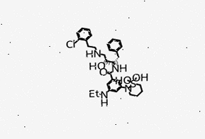 CCNc1cc(C(=O)N[C@@H](Cc2ccccc2)[C@@H](O)CNCCc2ccccc2Cl)cc(N2CCCCS2(O)O)c1